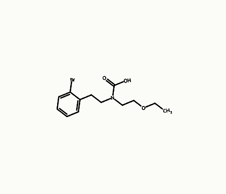 CCOCCN(CCc1ccccc1Br)C(=O)O